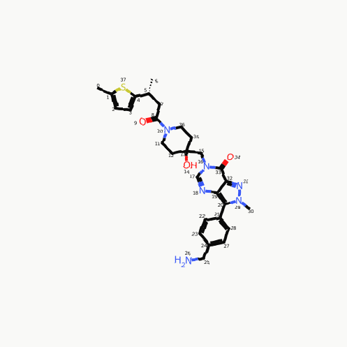 Cc1ccc([C@H](C)CC(=O)N2CCC(O)(Cn3cnc4c(-c5ccc(CN)cc5)n(C)nc4c3=O)CC2)s1